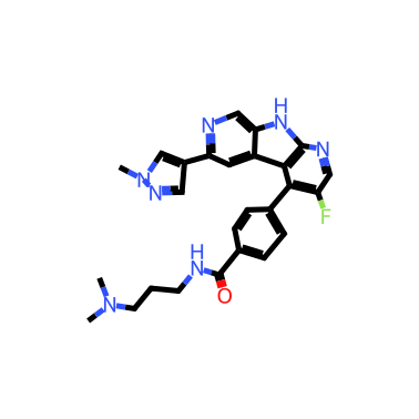 CN(C)CCCNC(=O)c1ccc(-c2c(F)cnc3[nH]c4cnc(-c5cnn(C)c5)cc4c23)cc1